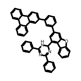 c1ccc(C2=NC(c3cc(-c4cccc(-c5ccc6c7ccccc7c7ccccc7c6c5)c4)cc4oc5ccccc5c34)NC(c3ccccc3)=N2)cc1